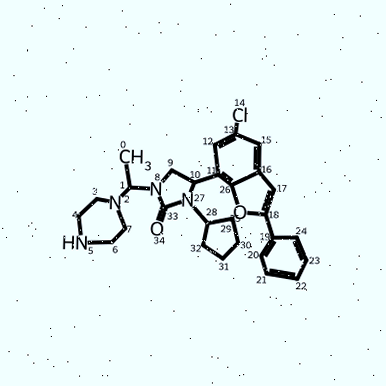 CC(N1CCNCC1)N1CC(c2cc(Cl)cc3cc(-c4ccccc4)oc23)N(C2CCCC2)C1=O